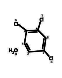 Clc1ccc(Cl)c(Cl)c1.O